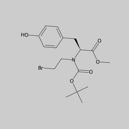 COC(=O)[C@H](Cc1ccc(O)cc1)N(CCBr)C(=O)OC(C)(C)C